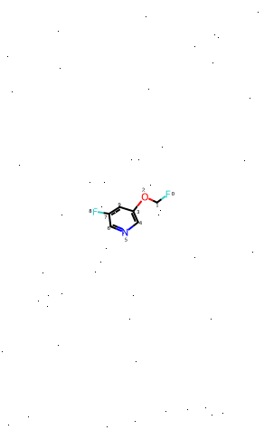 FCOc1cncc(F)c1